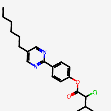 CCCCCCc1cnc(-c2ccc(OC(=O)C(Cl)C(C)C)cc2)nc1